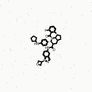 Cc1cccc(F)c1C(=O)N1C2CCCC2CC(C(=O)Nc2ccc3c(cnn3C3COC3)c2)[C@@H]1c1ccc(NC2CCCC2)cc1